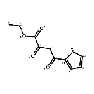 CCOC(=O)C(=O)CC(=O)c1cccs1